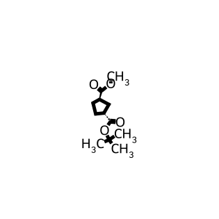 COC(=O)[C@@H]1CC[C@@H](C(=O)OC(C)(C)C)C1